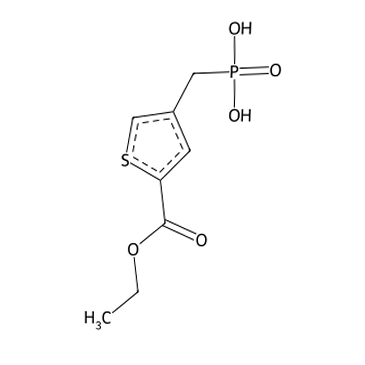 CCOC(=O)c1cc(CP(=O)(O)O)cs1